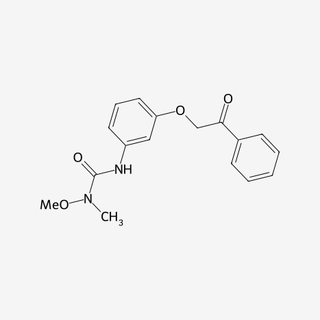 CON(C)C(=O)Nc1cccc(OCC(=O)c2ccccc2)c1